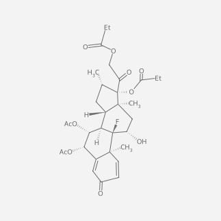 CCC(=O)OCC(=O)[C@]1(OC(=O)CC)[C@@H](C)C[C@H]2[C@@H]3[C@@H](OC(C)=O)[C@@H](OC(C)=O)C4=CC(=O)C=C[C@]4(C)[C@@]3(F)[C@@H](O)C[C@@]21C